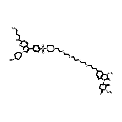 CCCCNc1ncc2c(-c3ccc(S(=O)(=O)N4CCN(CCOCCOCCOCCOCCCc5ccc6c(c5)n(C)c(=O)n6[C@H]5CCC(=O)N(C)C5=O)CC4)cc3)cn([C@H]3CC[C@H](O)CC3)c2n1